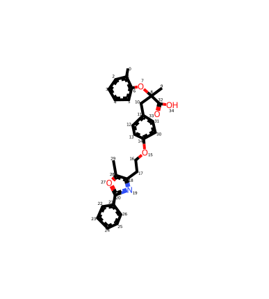 Cc1ccccc1OC(C)(Cc1ccc(OCCc2nc(-c3ccccc3)oc2C)cc1)C(=O)O